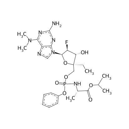 CC[C@]1(COP(=O)(N[C@@H](C)C(=O)OC(C)C)Oc2ccccc2)O[C@@H](n2cnc3c(N(C)C)nc(N)nc32)[C@@H](F)[C@@H]1O